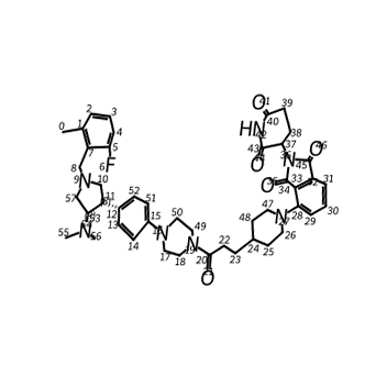 Cc1cccc(F)c1CN1C[C@H](c2ccc(N3CCN(C(=O)CCC4CCN(c5cccc6c5C(=O)N(C5CCC(=O)NC5=O)C6=O)CC4)CC3)cc2)[C@@H](N(C)C)C1